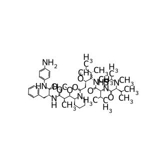 CC[C@H](C)[C@@H]([C@@H](CC(=O)N1CCCC[C@H]1[C@H](OC)[C@@H](C)C(=O)N[C@@H](Cc1ccccc1)C(=O)Nc1ccc(N)cc1)OC)N(C)C(=O)[C@@H](NC(=O)[C@H](C(C)C)N(C)C(C)S)C(C)C